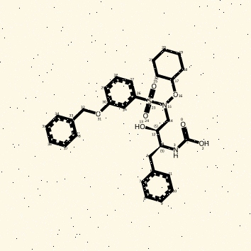 O=C(O)N[C@@H](Cc1ccccc1)[C@@H](O)CN(OC1CCCCC1)S(=O)(=O)c1cccc(OCc2ccccc2)c1